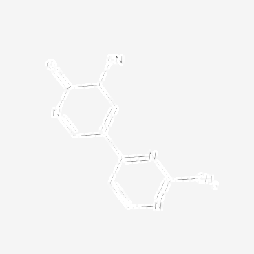 Cc1nccc(C2=CC(C#N)C(=O)N=C2)n1